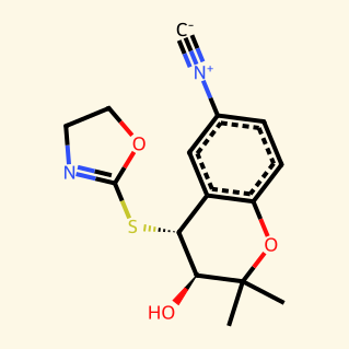 [C-]#[N+]c1ccc2c(c1)[C@@H](SC1=NCCO1)[C@H](O)C(C)(C)O2